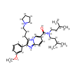 COc1cccc(-c2nc3ccc(C(=O)N(CCC(C)C)CCC(C)C)cn3c2CCCN2CCCC2)c1